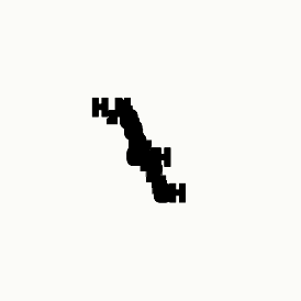 NCOCOCOCC(=O)NCCCCCO